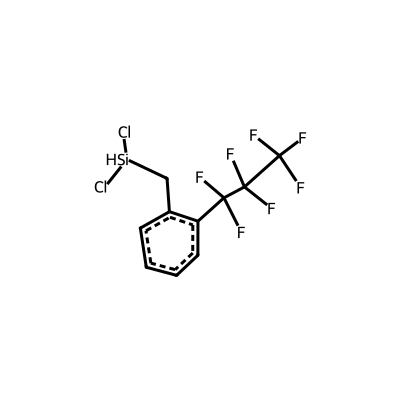 FC(F)(F)C(F)(F)C(F)(F)c1ccccc1C[SiH](Cl)Cl